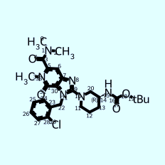 CN(C)C(=O)c1cc2nc(N3CCC[C@@H](NC(=O)OC(C)(C)C)C3)n(Cc3ccccc3Cl)c2c(=O)n1C